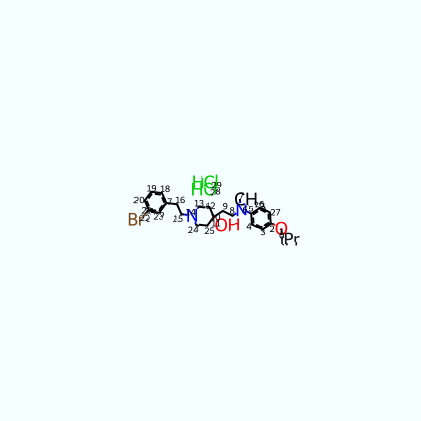 CC(C)Oc1ccc(N(C)CCC2(O)CCN(CCc3cccc(Br)c3)CC2)cc1.Cl.Cl